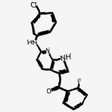 O=C(c1ccccc1F)c1c[nH]c2nc(Nc3cccc(Cl)c3)ccc12